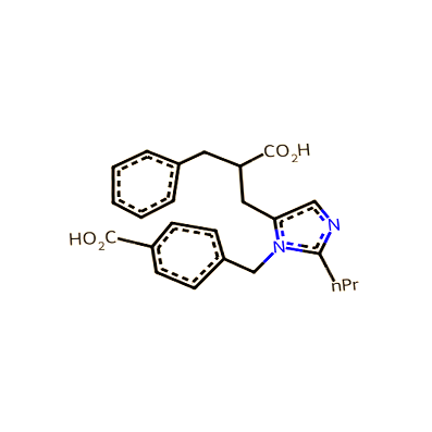 CCCc1ncc(CC(Cc2ccccc2)C(=O)O)n1Cc1ccc(C(=O)O)cc1